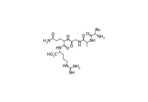 CCC(C)C(N)C(=O)NC(C)C(=O)NCC(=O)NC(CCC(N)=O)C(=O)NC(CCCNC(=N)N)C(=O)O